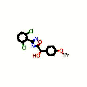 CC(C)Oc1ccc(C(O)c2nc(-c3c(Cl)cccc3Cl)no2)cc1